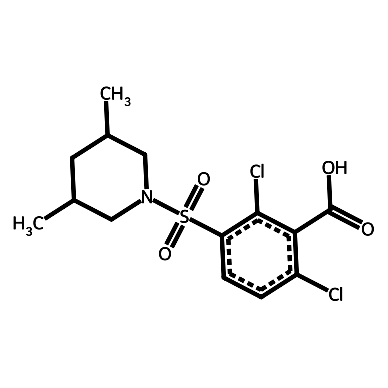 CC1CC(C)CN(S(=O)(=O)c2ccc(Cl)c(C(=O)O)c2Cl)C1